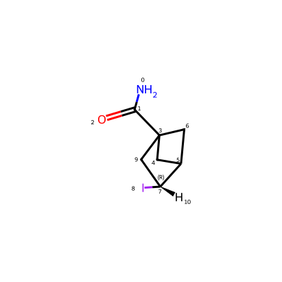 NC(=O)C12CC(C1)[C@H](I)C2